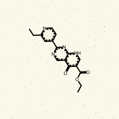 CCOC(=O)c1c[nH]c2nc(-c3ccnc(CC)c3)ncc2c1=O